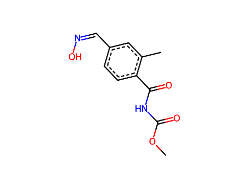 COC(=O)NC(=O)c1ccc(/C=N\O)cc1C